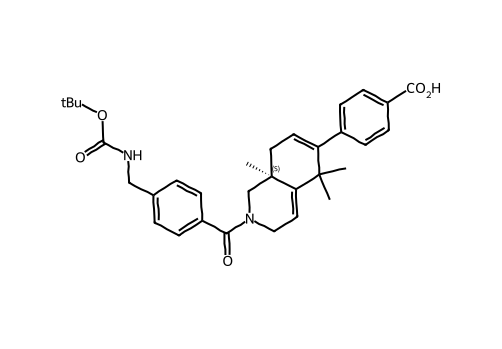 CC(C)(C)OC(=O)NCc1ccc(C(=O)N2CC=C3C(C)(C)C(c4ccc(C(=O)O)cc4)=CC[C@]3(C)C2)cc1